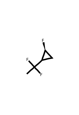 CC(F)(F)C1C[C@@H]1F